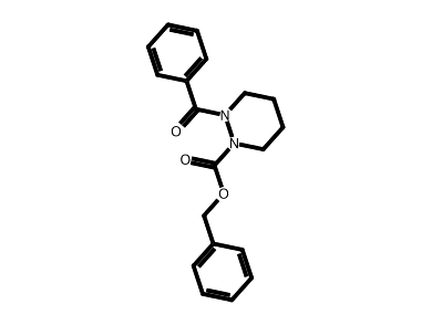 O=C(OCc1ccccc1)N1CCCCN1C(=O)c1ccccc1